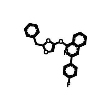 Fc1ccc(-c2cc3ccccc3c(OC3=COC(Cc4ccccc4)O3)n2)cc1